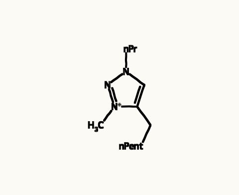 CCCCCCc1cn(CCC)n[n+]1C